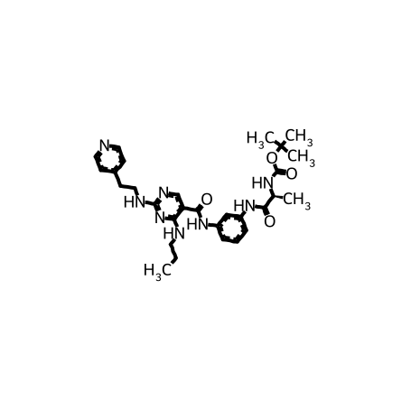 CCCNc1nc(NCCc2ccncc2)ncc1C(=O)Nc1cccc(NC(=O)[C@H](C)NC(=O)OC(C)(C)C)c1